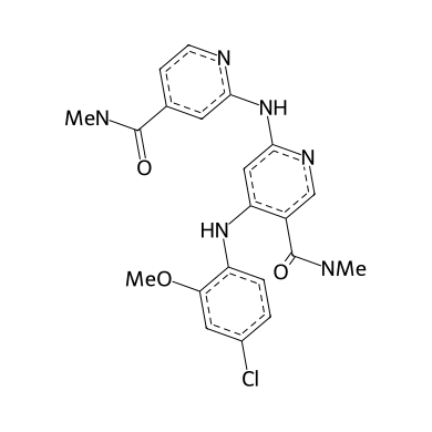 CNC(=O)c1ccnc(Nc2cc(Nc3ccc(Cl)cc3OC)c(C(=O)NC)cn2)c1